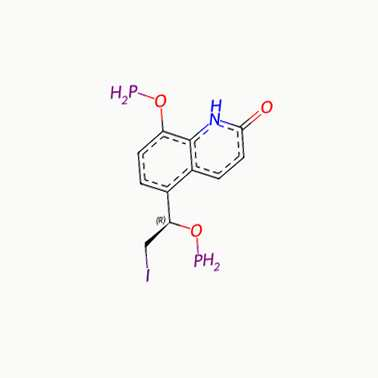 O=c1ccc2c([C@H](CI)OP)ccc(OP)c2[nH]1